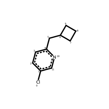 Clc1ccc(CC2CCC2)nc1